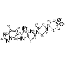 Cc1c(-c2[nH]c3ccc(N4CCN(C5CCS(=O)(=O)CC5)C[C@@H]4C)nc3c2C(C)C)cn2ncnc2c1C